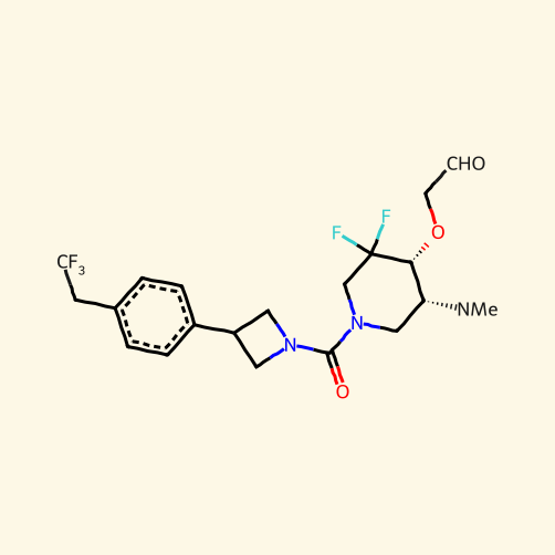 CN[C@@H]1CN(C(=O)N2CC(c3ccc(CC(F)(F)F)cc3)C2)CC(F)(F)[C@@H]1OCC=O